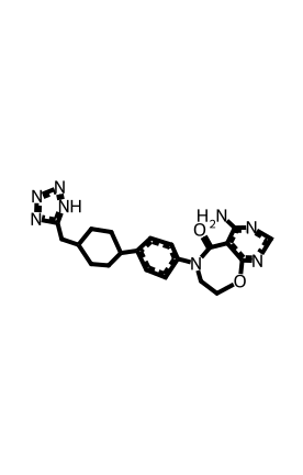 Nc1ncnc2c1C(=O)N(c1ccc(C3CCC(Cc4nnn[nH]4)CC3)cc1)CCO2